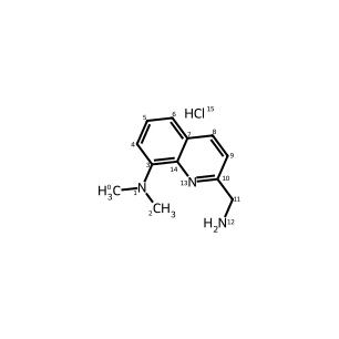 CN(C)c1cccc2ccc(CN)nc12.Cl